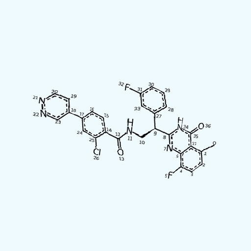 Cc1ccc(F)c2nc([C@@H](CNC(=O)c3ccc(-c4ccnnc4)cc3Cl)c3cccc(F)c3)[nH]c(=O)c12